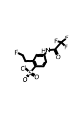 O=C(Nc1ccc(S(=O)(=O)Cl)c(CCF)c1)C(F)(F)F